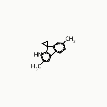 Cc1ccc2c(c1)C1(CC1)c1[nH]c(C)cc1-2